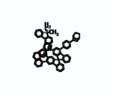 CC1(C)c2ccccc2-c2cc(N(c3ccccc3)c3cc(-c4ccc(C5CC6CCC5C6)cc4)c4c(c3)C3(c5ccccc5-c5cc(-c6ccccc6)c(N(c6ccccc6)c6ccccc6)cc53)c3ccccc3-4)ccc21